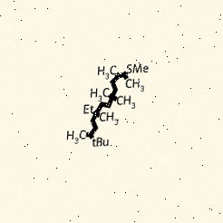 CCC(C)(CCC(C)C(C)(C)C)CCC(C)(C)CCC(C)C(C)SC